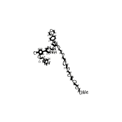 COCCOCCOCCOCCOCCOCCOCCCOc1nn([C@H]2CC[C@H](N3CCOCC3)CC2)cc1Nc1ncc(-c2ccc(Cl)c(O[C@@H](C)Cn3cnnn3)c2)cn1